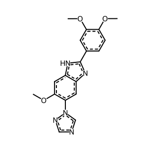 COc1ccc(-c2nc3cc(-n4cncn4)c(OC)cc3[nH]2)cc1OC